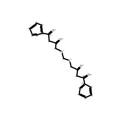 O=C(CSCSCC(=O)CC(=O)c1ccccc1)CC(=O)c1ccccc1